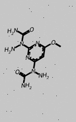 COc1cc(N(N)C(N)=O)nc(N(N)C(N)=O)n1